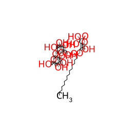 CCCCCCCCCCCCCCCC(=O)OC[C@H](O)[C@H]1OC(=O)C(O)=C1O.OC[C@H]1O[C@H](O[C@H]2O[C@H](CO)[C@@H](O)[C@H](O)[C@H]2O)[C@H](O)[C@@H](O)[C@@H]1O